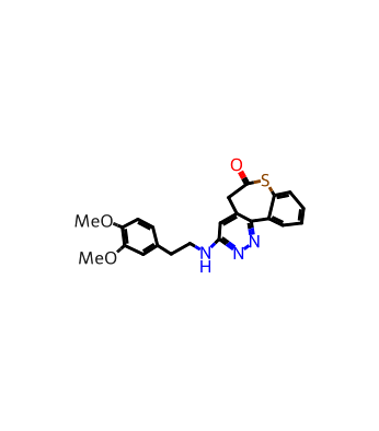 COc1ccc(CCNc2cc3c(nn2)-c2ccccc2SC(=O)C3)cc1OC